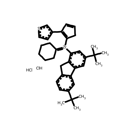 CC(C)(C)c1ccc2c(c1)-c1cc(C(C)(C)C)c[c]([Zr]([C]3=C(c4ccsc4)C=CC3)=[C]3CCCCC3)c1C2.Cl.Cl